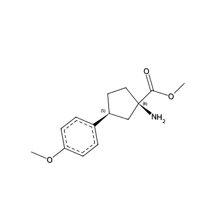 COC(=O)[C@@]1(N)CC[C@H](c2ccc(OC)cc2)C1